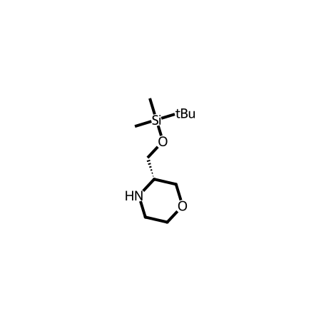 CC(C)(C)[Si](C)(C)OC[C@@H]1COCCN1